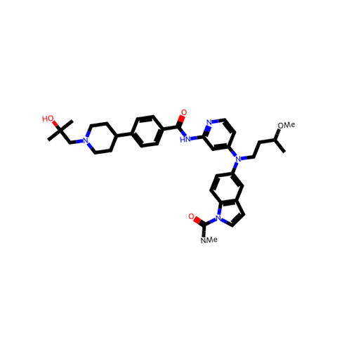 CNC(=O)n1ccc2cc(N(CCC(C)OC)c3ccnc(NC(=O)c4ccc(C5CCN(CC(C)(C)O)CC5)cc4)c3)ccc21